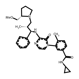 COC[C@@H]1CCCN1C[C@@H](C)[C@@H](Nc1nccn(-c2cc(C(=O)NC3CC3)ccc2C)c1=O)c1ccccc1